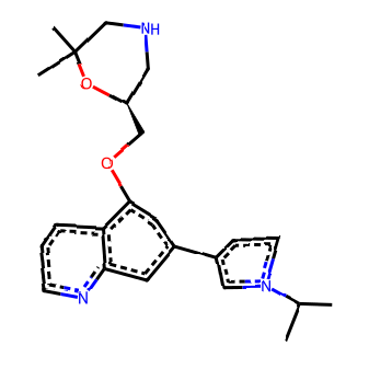 CC(C)n1ccc(-c2cc(OC[C@@H]3CNCC(C)(C)O3)c3cccnc3c2)c1